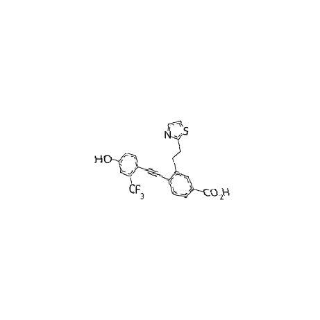 O=C(O)c1ccc(C#Cc2ccc(O)cc2C(F)(F)F)c(CCc2nccs2)c1